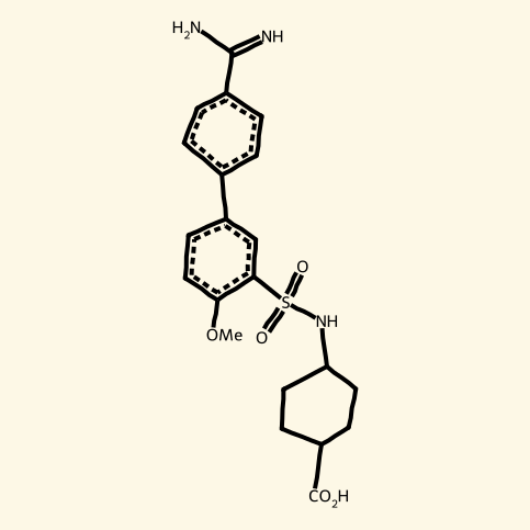 COc1ccc(-c2ccc(C(=N)N)cc2)cc1S(=O)(=O)NC1CCC(C(=O)O)CC1